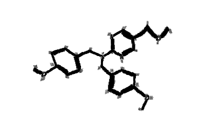 COCc1cnc(N(Cc2ccc(OC)cc2)Cc2ccc(OC)cc2)nc1